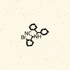 N#CC(NC(c1ccccc1)c1ccccc1)c1ccccc1Br